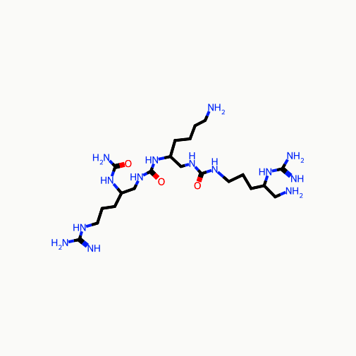 N=C(N)NCCCC(CNC(=O)NC(CCCCN)CNC(=O)NCCCC(CN)NC(=N)N)NC(N)=O